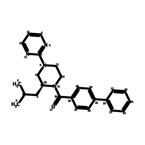 CC(C)C[C@H]1CN(c2ncccn2)CCN1C(=O)c1ccc(-c2ccccc2)cc1